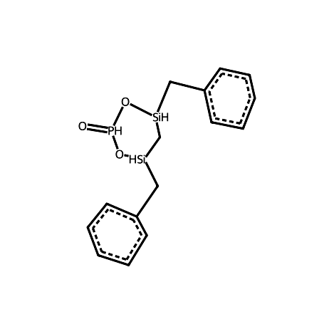 O=[PH]1O[SiH](Cc2ccccc2)C[SiH](Cc2ccccc2)O1